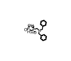 O=[PH](O)CP(=O)(O)CN(Cc1ccccc1)Cc1ccccc1